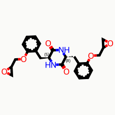 O=C1N[C@H](Cc2ccccc2OCC2CO2)C(=O)N[C@H]1Cc1ccccc1OCC1CO1